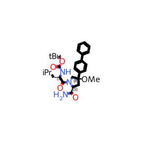 CO[C@@]1(c2ccc(-c3ccccc3)cc2)C[C@@H](C(N)=O)N(C(=O)[C@H](CC(C)C)NC(=O)OC(C)(C)C)C1